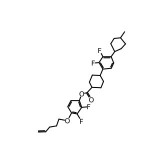 C=CCCCOc1ccc(OC(=O)C2CCC(c3ccc(C4CCC(C)CC4)c(F)c3F)CC2)c(F)c1F